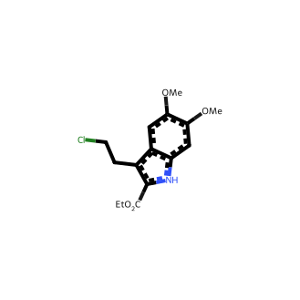 CCOC(=O)c1[nH]c2cc(OC)c(OC)cc2c1CCCl